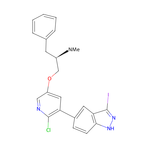 CN[C@@H](COc1cnc(Cl)c(-c2ccc3[nH]nc(I)c3c2)c1)Cc1ccccc1